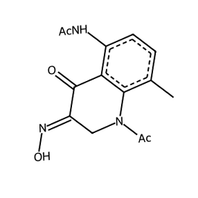 CC(=O)Nc1ccc(C)c2c1C(=O)C(=NO)CN2C(C)=O